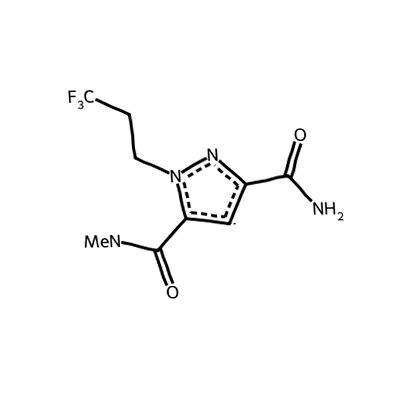 CNC(=O)c1[c]c(C(N)=O)nn1CCC(F)(F)F